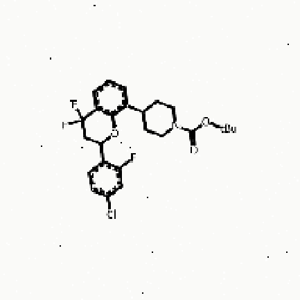 CC(C)(C)OC(=O)N1CCC(c2cccc3c2OC(c2ccc(Cl)cc2F)CC3(F)F)CC1